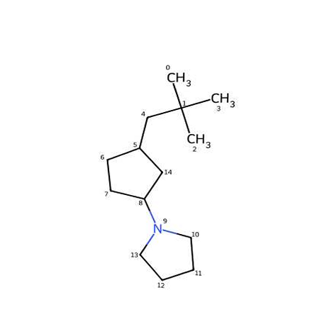 CC(C)(C)CC1CCC(N2CCCC2)C1